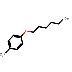 CCCCCCCCCCCCCCCOc1ccc(S(=O)(=O)O)cc1